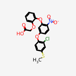 CSc1ccc(Oc2ccc([N+](=O)[O-])c(Oc3ccccc3OCC(=O)O)c2)c(Cl)c1